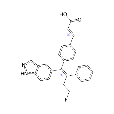 O=C(O)/C=C/c1ccc(/C(=C(/CCF)c2ccccc2)c2ccc3[nH]ncc3c2)cc1